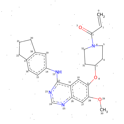 C=CC(=O)N1CCC(Oc2cc3c(Nc4ccc5c(c4)CCC5)ncnc3cc2OC)CC1